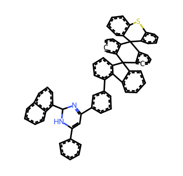 C1=C(c2ccccc2)NC(c2cccc3ccccc23)N=C1c1cccc(-c2cccc3c2-c2ccccc2C32c3ccccc3C3(c4ccccc4Sc4ccccc43)c3ccccc32)c1